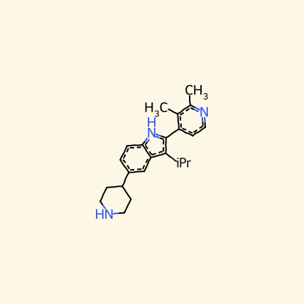 Cc1nccc(-c2[nH]c3ccc(C4CCNCC4)cc3c2C(C)C)c1C